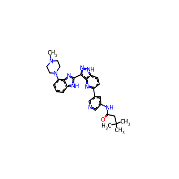 CN1CCN(c2cccc3[nH]c(-c4n[nH]c5ccc(-c6cncc(NC(=O)CC(C)(C)C)c6)nc45)nc23)CC1